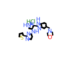 Cl.c1csc(-c2nccc(Nc3c[nH]nc3-c3nc4cc(CN5CCOCC5)ccc4[nH]3)n2)c1